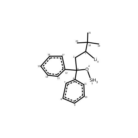 [Li][CH](CC(O[SiH3])(c1ccccc1)c1ccccc1)C(C)(C)C